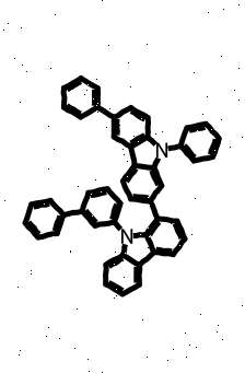 c1ccc(-c2cccc(-n3c4ccccc4c4cccc(-c5ccc6c7cc(-c8ccccc8)ccc7n(-c7ccccc7)c6c5)c43)c2)cc1